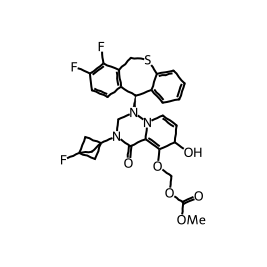 COC(=O)OCOC1=C2C(=O)N(C34CC(F)(C3)C4)CN([C@@H]3c4ccccc4SCc4c3ccc(F)c4F)N2C=CC1O